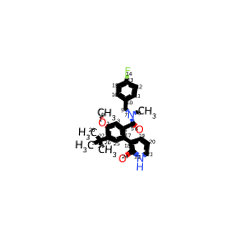 COc1cc(C(=O)N(C)Cc2ccc(F)cc2)c(-c2ccc[nH]c2=O)cc1C(C)(C)C